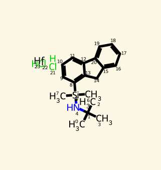 CC(C)(C)N[Si](C)(C)c1cccc2c1Cc1ccccc1-2.Cl.Cl.[Hf]